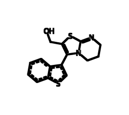 OCC1=C(c2csc3ccccc23)N2CCCN=C2S1